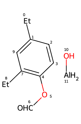 CCc1ccc(OC=O)c(CC)c1.[OH][AlH2]